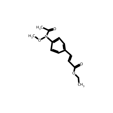 CCOC(=O)C=Cc1ccc(N(OC)C(C)=O)cc1